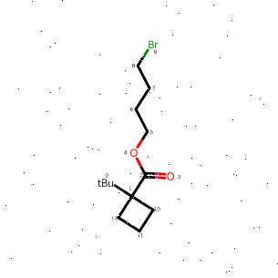 CC(C)(C)C1(C(=O)OCCCCBr)CCC1